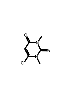 Cn1c(Cl)cc(=O)n(C)c1=S